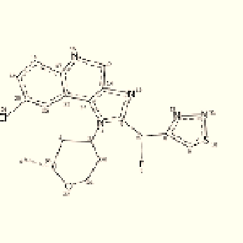 C[C@@H]1CC(n2c(C(F)c3csnn3)nc3cnc4ccc(Cl)cc4c32)CCO1